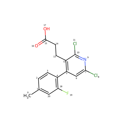 Cc1ccc(-c2cc(Cl)nc(Cl)c2CCC(=O)O)c(F)c1